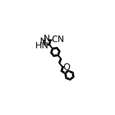 N#Cc1nn[nH]c1-c1ccc(/C=C/c2cc3ccccc3o2)cc1